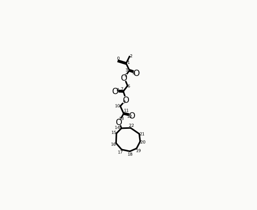 C=C(C)C(=O)OCC(=O)OCC(=O)OC1CCCCCCCC1